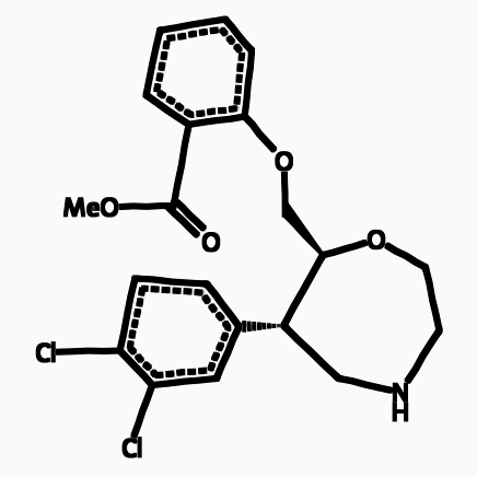 COC(=O)c1ccccc1OC[C@H]1OCCNC[C@@H]1c1ccc(Cl)c(Cl)c1